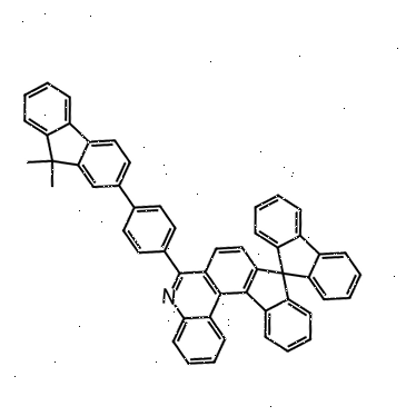 CC1(C)c2ccccc2-c2ccc(-c3ccc(-c4nc5ccccc5c5c6c(ccc45)C4(c5ccccc5-c5ccccc54)c4ccccc4-6)cc3)cc21